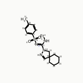 CCN/C(=N\S(=O)(=O)c1ccc(C)cc1)N1CC2(C=N1)CCCCC2